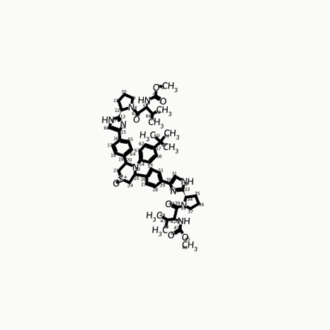 COC(=O)N[C@H](C(=O)N1CCC[C@H]1c1nc(-c2ccc(C3C[S+]([O-])CC(c4ccc(-c5c[nH]c([C@@H]6CCCN6C(=O)[C@@H](NC(=O)OC)C(C)C)n5)cc4)N3c3ccc(C(C)(C)C)cc3)cc2)c[nH]1)C(C)C